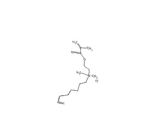 C=C(C)C(=O)OCC[N+](C)(C)CCCCCCCCCCCCCCCC.[Cl-]